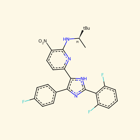 C[C@@H](Nc1nc(-c2[nH]c(-c3c(F)cccc3F)nc2-c2ccc(F)cc2)ccc1[N+](=O)[O-])C(C)(C)C